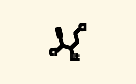 C#CC(Cl)C(CC)CCCl